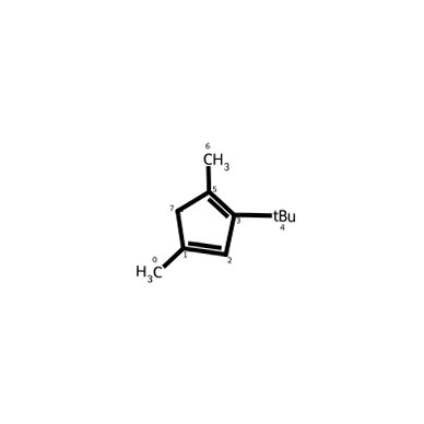 CC1=CC(C(C)(C)C)=C(C)[CH]1